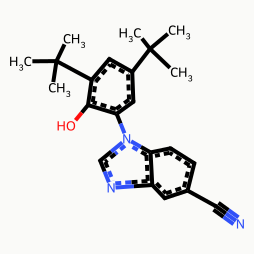 CC(C)(C)c1cc(-n2cnc3cc(C#N)ccc32)c(O)c(C(C)(C)C)c1